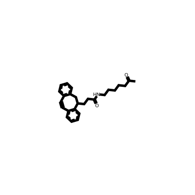 CC(=O)CCCCCNC(=O)CCC1Cc2ccccc2C#Cc2ccccc21